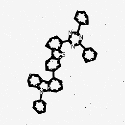 c1ccc(-c2nc(-c3ccccc3)nc(-c3cccc4c3sc3cc(-c5cccc6c5c5ccccc5n6-c5ccccc5)ccc34)n2)cc1